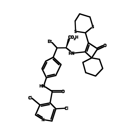 CCC(c1ccc(NC(=O)c2c(Cl)cncc2Cl)cc1)[C@H](NC1=C(C2SCCCS2)C(=O)C12CCCCC2)C(=O)O